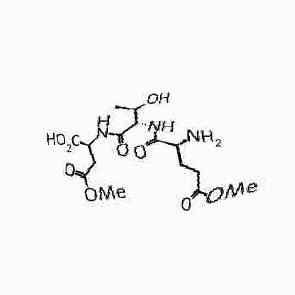 COC(=O)CC[C@H](N)C(=O)N[C@H](C(=O)N[C@@H](CC(=O)OC)C(=O)O)[C@@H](C)O